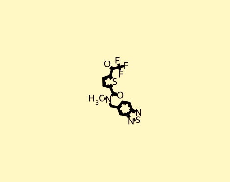 CN(Cc1ccc2nsnc2c1)C(=O)c1ccc(C(=O)C(F)(F)F)s1